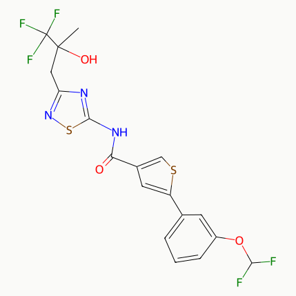 CC(O)(Cc1nsc(NC(=O)c2csc(-c3cccc(OC(F)F)c3)c2)n1)C(F)(F)F